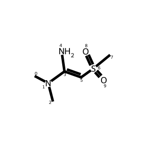 CN(C)C(N)=CS(C)(=O)=O